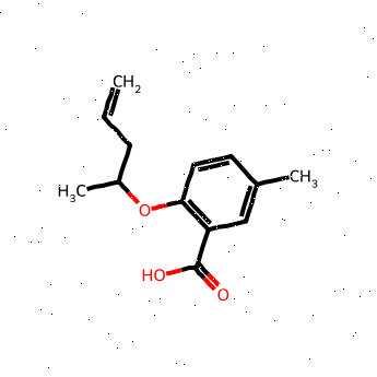 C=CCC(C)Oc1ccc(C)cc1C(=O)O